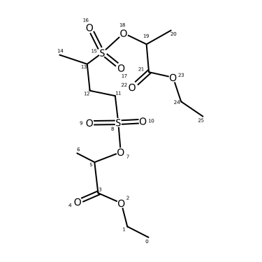 CCOC(=O)C(C)OS(=O)(=O)CCC(C)S(=O)(=O)OC(C)C(=O)OCC